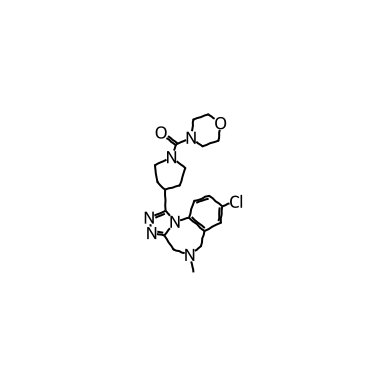 CN1Cc2cc(Cl)ccc2-n2c(nnc2C2CCN(C(=O)N3CCOCC3)CC2)C1